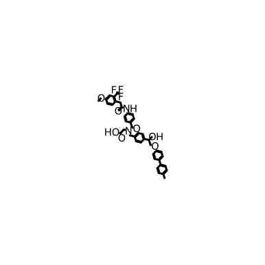 COc1ccc(CC(=O)Nc2ccc(C(=O)N(CC(=O)O)Cc3ccc(C(O)COc4ccc(-c5ccc(C)cc5)cc4)cc3)cc2)c(C(F)(F)F)c1